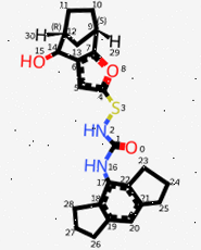 O=C(NSc1cc2c(o1)[C@H]1CC[C@H](C1)C2O)Nc1c2c(cc3c1CCC3)CCC2